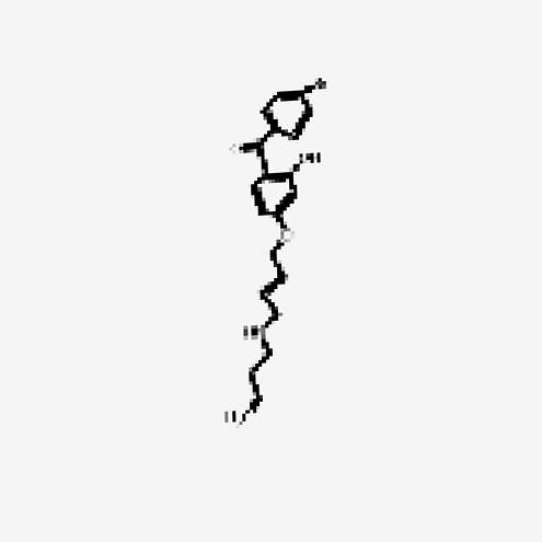 C=CCCNC/C=C/COc1ccc(C(=O)c2ccc(Br)cc2)c(O)c1